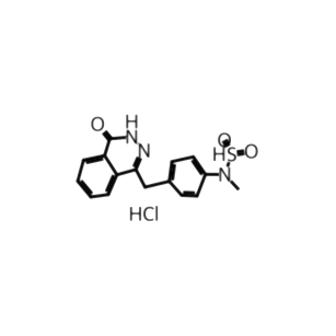 CN(c1ccc(Cc2n[nH]c(=O)c3ccccc23)cc1)[SH](=O)=O.Cl